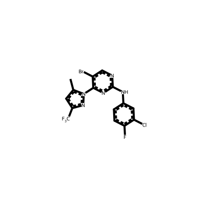 Cc1cc(C(F)(F)F)nn1-c1nc(Nc2ccc(F)c(Cl)c2)ncc1Br